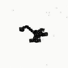 CC/C=C\C/C=C\C/C=C\CCCCCCCC(=O)Oc1c(-c2ccc(O)c(O)c2)oc2cc(N=O)cc(OC(C)C)c2c1=O